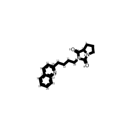 O=C1C2CCCN2C(=O)N1CCCCc1ccc2ccccc2n1